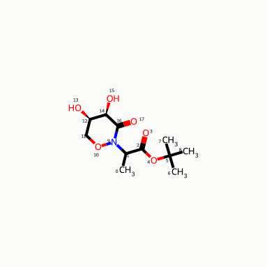 CC(C(=O)OC(C)(C)C)N1OC[C@@H](O)[C@@H](O)C1=O